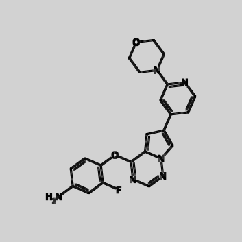 Nc1ccc(Oc2ncnn3cc(-c4ccnc(N5CCOCC5)c4)cc23)c(F)c1